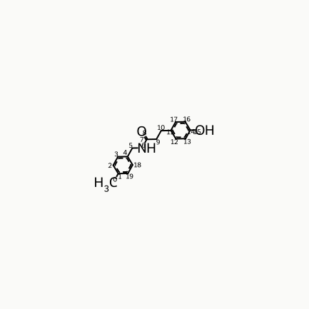 Cc1ccc(CNC(=O)CCc2ccc(O)cc2)cc1